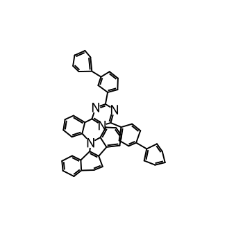 c1ccc(-c2ccc(-c3nc(-c4cccc(-c5ccccc5)c4)nc(-c4ccccc4-n4c5ccccc5c5ccc6ccccc6c54)n3)cc2)cc1